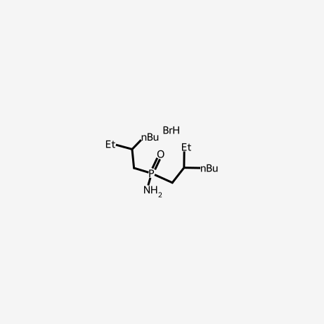 Br.CCCCC(CC)CP(N)(=O)CC(CC)CCCC